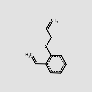 C=CCSc1ccccc1C=C